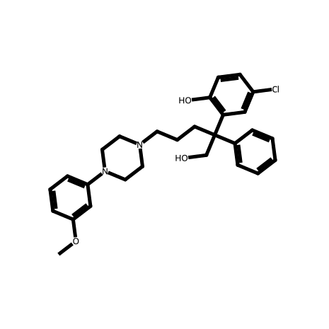 COc1cccc(N2CCN(CCCC(CO)(c3ccccc3)c3cc(Cl)ccc3O)CC2)c1